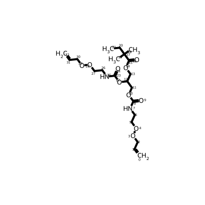 C=CCOOCCNC(=O)OCC(COC(=O)C(C)(C)CC)OC(=O)NCCOOCC=C